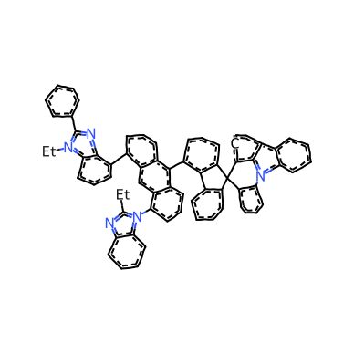 CCc1nc2ccccc2n1-c1cccc2c(-c3cccc4c3-c3ccccc3C43c4ccccc4-n4c5ccccc5c5cccc3c54)c3cccc(-c4cccc5c4nc(-c4ccccc4)n5CC)c3cc12